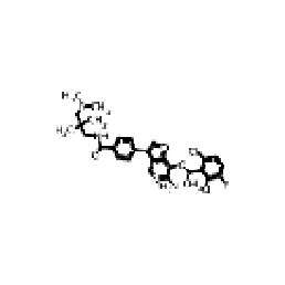 C[C@@H](Oc1c(N)ncc2c(-c3ccc(C(=O)NCC(C)(C)CN(C)C)cc3)coc12)c1c(Cl)ccc(F)c1Cl